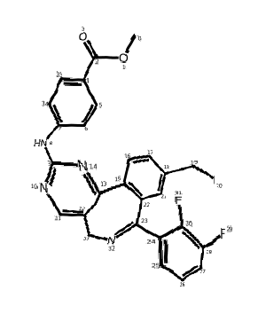 COC(=O)c1ccc(Nc2ncc3c(n2)-c2ccc(CI)cc2C(c2cccc(F)c2F)=NC3)cc1